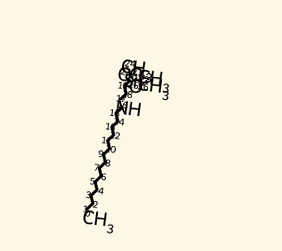 CCCCCCCCCCCCCCCCNCCC[Si](OC)(OC)OC